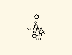 COc1cc(OCc2ccccc2)ccc1C1Nc2cccc(O)c2NC2=C1S(=O)(=O)CC(C)(C)C2